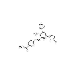 COC(=O)c1ccc(COc2nc(-c3ccc(Cl)s3)cc(-c3ccco3)c2N)cc1